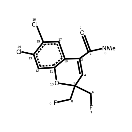 CNC(=O)C1=CC(CF)(CF)Oc2cc(Cl)c(Cl)cc21